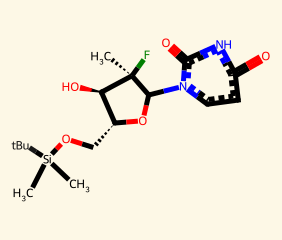 CC(C)(C)[Si](C)(C)OC[C@H]1OC(n2ccc(=O)[nH]c2=O)[C@](C)(F)[C@@H]1O